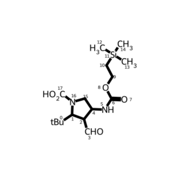 CC(C)(C)C1C(C=O)C(NC(=O)OCC[Si](C)(C)C)CN1C(=O)O